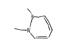 CB1C=CC=CN1C